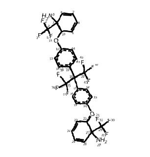 NC1(C(F)(F)F)C=CC=CC1Oc1ccc(C(c2ccc(OC3C=CC=CC3(N)C(F)(F)F)cc2)(C(F)(F)F)C(F)(F)F)cc1